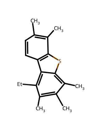 CCc1c(C)c(C)c(C)c2sc3c(C)c(C)ccc3c12